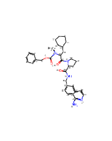 CN(C(=O)OCc1ccccc1)C(CC1CCCCC1)C(=O)N1CCCC1C(=O)NCc1ccc2c(N)nccc2c1